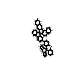 c1ccc2c(c1)Oc1ccc(-c3ccc4c(c3)C3(c5ccccc5-4)c4cc5ccccc5cc4-c4c3ccc3ccccc43)cc1C21c2ccccc2-c2ccccc21